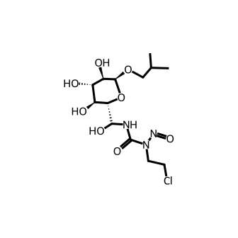 CC(C)CO[C@H]1O[C@H](C(O)NC(=O)N(CCCl)N=O)[C@@H](O)[C@H](O)[C@H]1O